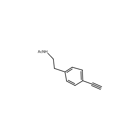 C#Cc1ccc(CCNC(C)=O)cc1